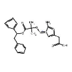 CC(C)(O/N=S1/C=C(CC(=O)O)N=C1N)C(=O)OC(Cc1ccccc1)c1ccccc1